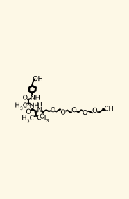 C#CCOCCOCCOCCOCCOCCC(=O)N[C@H](C(=O)N[C@@H](C)C(=O)Nc1ccc(CO)cc1)C(C)C